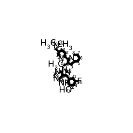 CC(c1cc2ccccn2c1-c1ccc(CN(C)C)cn1)n1nc(-c2cc(O)cc(F)c2)c2c(N)ncnc21